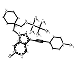 CN1CCC(C#Cc2nn(CC3(CO[Si](C)(C)C(C)(C)C)CCOCC3)c3cc(Cl)ncc23)CC1